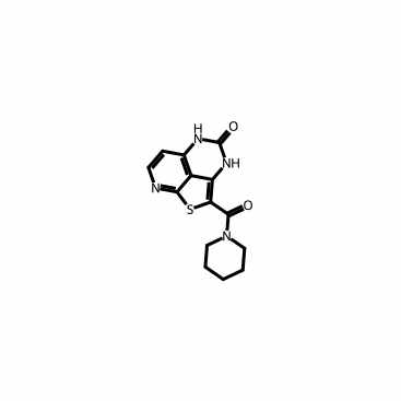 O=C1Nc2ccnc3sc(C(=O)N4CCCCC4)c(c23)N1